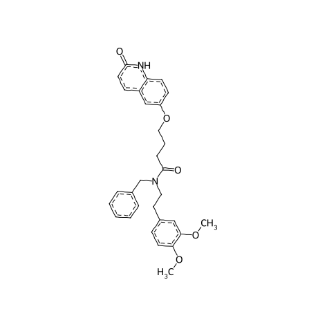 COc1ccc(CCN(Cc2ccccc2)C(=O)CCCOc2ccc3[nH]c(=O)ccc3c2)cc1OC